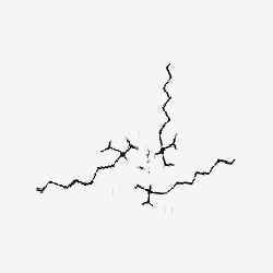 CCCCCCCCC(OP(OC(CCCCCCCC)(C(C)C)C(C)C)OC(CCCCCCCC)(C(C)C)C(C)C)(C(C)C)C(C)C